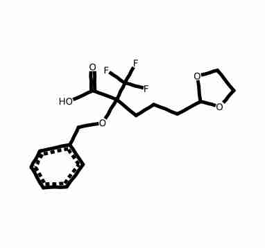 O=C(O)C(CCCC1OCCO1)(OCc1ccccc1)C(F)(F)F